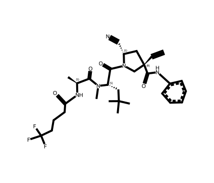 C#C[C@]1(C(=O)Nc2ccccc2)C[C@@H](C#N)N(C(=O)[C@H](CC(C)(C)C)N(C)C(=O)[C@H](C)NC(=O)CCCC(F)(F)F)C1